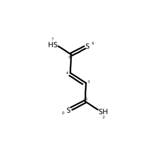 S=C(S)C=CC(=S)S